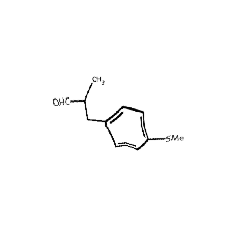 CSc1ccc(CC(C)C=O)cc1